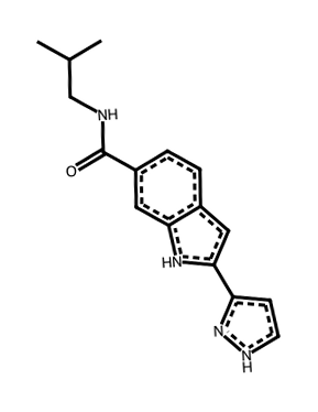 CC(C)CNC(=O)c1ccc2cc(-c3cc[nH]n3)[nH]c2c1